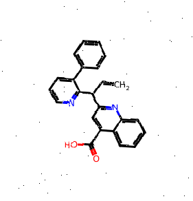 C=CC(c1cc(C(=O)O)c2ccccc2n1)c1ncccc1-c1ccccc1